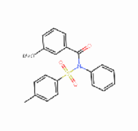 COc1cccc(C(=O)N(c2ccccc2)S(=O)(=O)c2ccc(C)cc2)c1